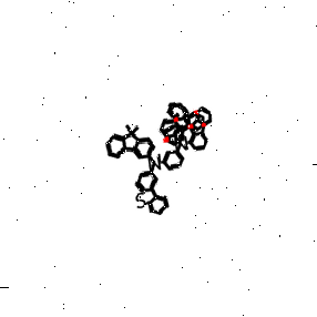 CC1(C)c2ccccc2-c2cc(N(c3cccc(N(c4cccc5c4C(c4ccccc4)(c4ccccc4)c4ccccc4-5)c4cccc5oc6ccccc6c45)c3)c3ccc4sc5ccccc5c4c3)ccc21